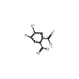 O=C(Cl)c1cc(F)c(F)cc1C(=O)Cl